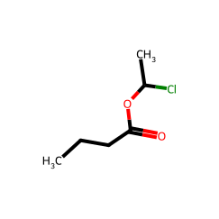 CCCC(=O)OC(C)Cl